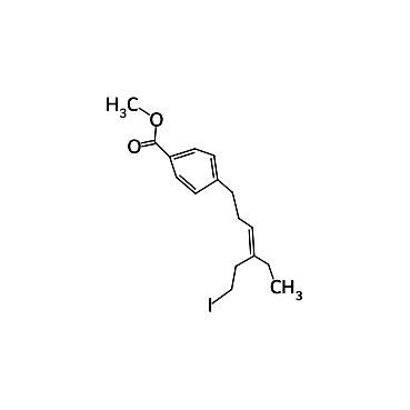 CCC(=CCCc1ccc(C(=O)OC)cc1)CCI